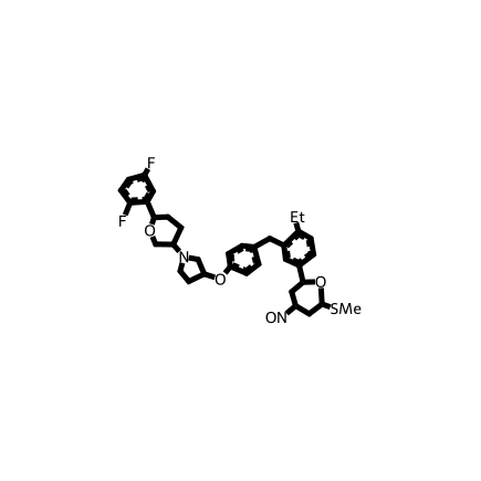 CCc1ccc(C2CC(N=O)CC(SC)O2)cc1Cc1ccc(OC2CCN(C3CCC(c4cc(F)ccc4F)OC3)C2)cc1